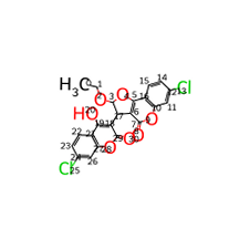 CCOC1Oc2c(c(=O)oc3cc(Cl)ccc23)C1c1c(O)c2ccc(Cl)cc2oc1=O